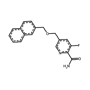 NC(=O)c1ncc(COCc2ccc3ccccc3c2)cc1F